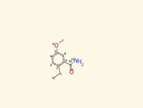 [CH2]Cc1ccc(OC)cc1C(N)=O